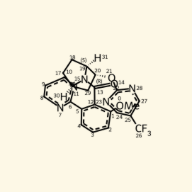 COc1cccc(-c2ncccn2)c1C(=O)N1[C@@H]2CC[C@H]1[C@H](Oc1ncc(C(F)(F)F)cn1)C2